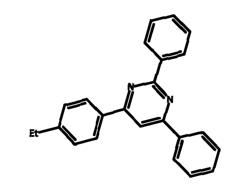 CCc1ccc(-c2cc(-c3ccccc3)nc(-c3ccccc3)n2)cc1